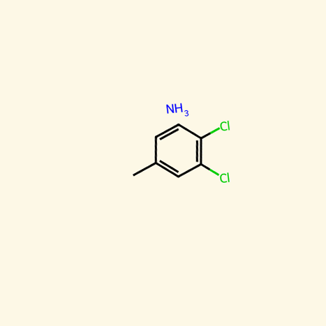 Cc1ccc(Cl)c(Cl)c1.N